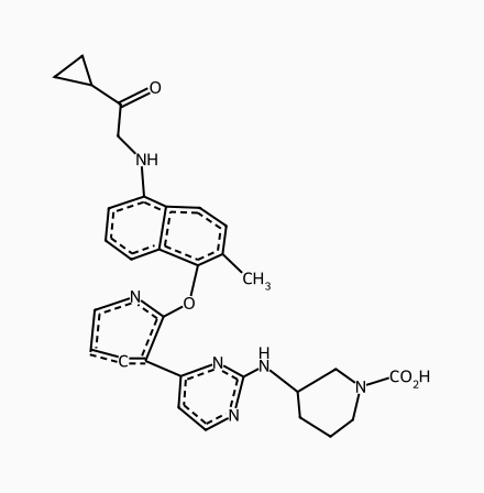 Cc1ccc2c(NCC(=O)C3CC3)cccc2c1Oc1ncccc1-c1ccnc(NC2CCCN(C(=O)O)C2)n1